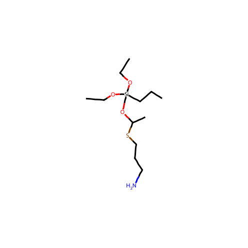 CCC[Si](OCC)(OCC)OC(C)SCCCN